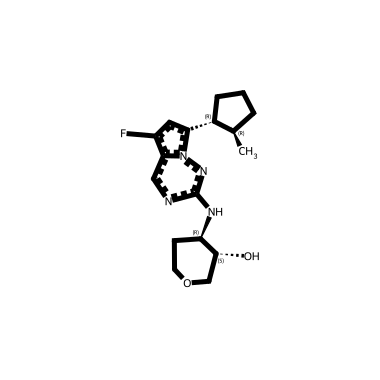 C[C@@H]1CCC[C@H]1c1cc(F)c2cnc(N[C@@H]3CCOC[C@H]3O)nn12